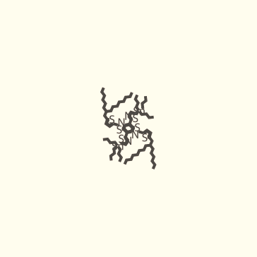 CCCCCCCCC(CCCCCC)Cc1ccc(-c2nc3c(-c4nc[c]([Sn]([CH2]CCC)([CH2]CCC)[CH2]CCC)s4)c4sc(-c5ccc(CC(CCCCCC)CCCCCCCC)s5)nc4c(-c4nc[c]([Sn]([CH2]CCC)([CH2]CCC)[CH2]CCC)s4)c3s2)s1